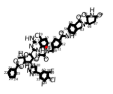 CC(=N)/N=C(\Nc1cc(Cl)ccc1C(F)(F)F)[C@@H]1O[C@@H]2COC(c3ccccc3)O[C@@H]2[C@H](n2cc(-c3cc(F)c(Cl)c(F)c3)nn2)[C@H]1OCC(=O)NCc1ccc(C(=O)Nc2ccc3c(c2)CN(C2CCC(=O)NC2=O)C3=O)cc1